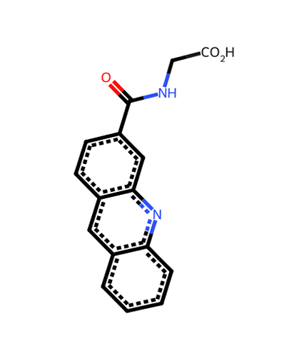 O=C(O)CNC(=O)c1ccc2cc3ccccc3nc2c1